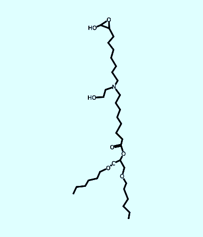 CCCCCCOCC(COCCCCCC)OC(=O)CCCCCCCN(CCO)CCCCCCCC1OC1O